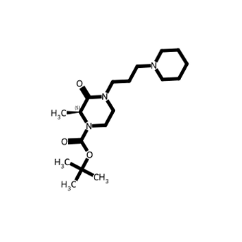 C[C@H]1C(=O)N(CCCN2CCCCC2)CCN1C(=O)OC(C)(C)C